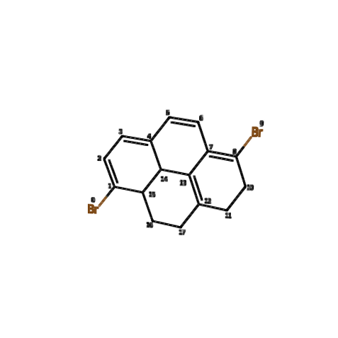 BrC1=CC=C2C=CC3=C(Br)CCC4=C3C2C1CC4